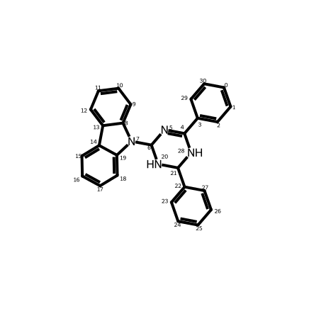 c1ccc(C2=NC(n3c4ccccc4c4ccccc43)NC(c3ccccc3)N2)cc1